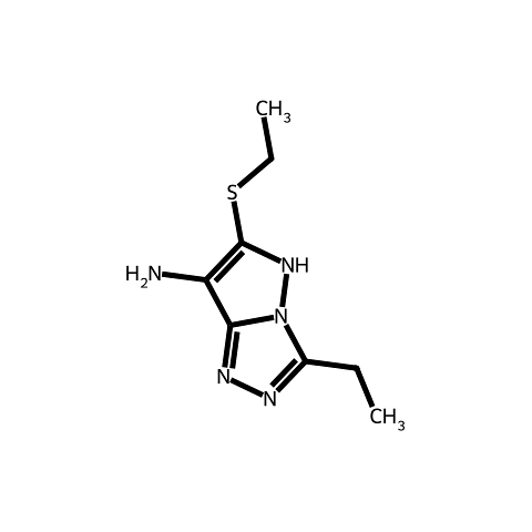 CCSc1[nH]n2c(CC)nnc2c1N